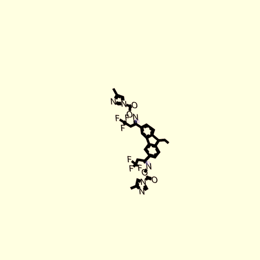 CCC1c2ccc(/C(CC(F)(F)F)=N/OC(=O)n3cnc(C)c3)cc2-c2cc(/C(CC(F)(F)F)=N/OC(=O)n3cnc(C)c3)ccc21